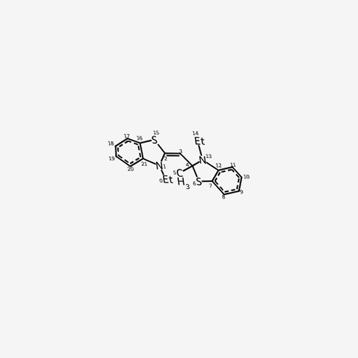 CCN1C(=CC2(C)Sc3ccccc3N2CC)Sc2ccccc21